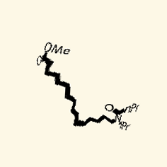 CCCC(=O)N(CCCC/C=C\CCCCCCCCCC(=O)OC)C(C)C